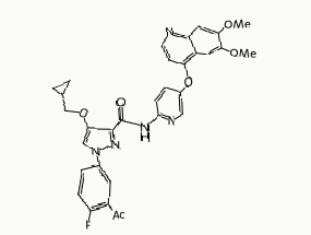 COc1cc2nccc(Oc3ccc(NC(=O)c4nn(-c5ccc(F)c(C(C)=O)c5)cc4OCC4CC4)nc3)c2cc1OC